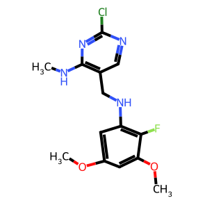 CNc1nc(Cl)ncc1CNc1cc(OC)cc(OC)c1F